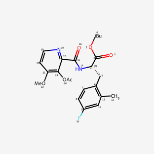 CCC(C)OC(=O)[C@H](Cc1ccc(F)cc1C)NC(=O)c1nccc(OC)c1OC(C)=O